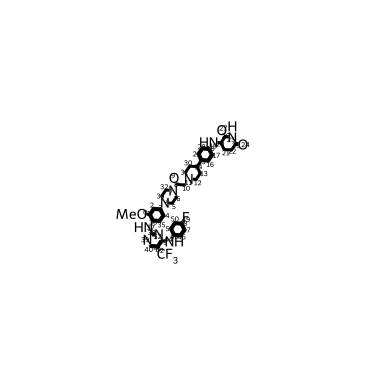 COc1cc(N2CCN(C(=O)CN3CCC(c4ccc(NC5CCC(=O)NC5=O)cc4)CC3)CC2)ccc1Nc1ncc(C(F)(F)F)c(Nc2ccc(F)cc2)n1